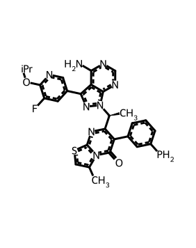 Cc1csc2nc([C@H](C)n3nc(-c4cnc(OC(C)C)c(F)c4)c4c(N)ncnc43)c(-c3cccc(P)c3)c(=O)n12